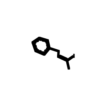 C/C(I)=C/Cc1ccccc1